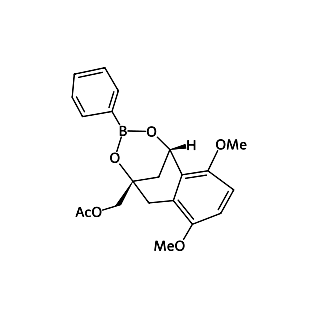 COc1ccc(OC)c2c1C[C@@]1(COC(C)=O)C[C@@H]2OB(c2ccccc2)O1